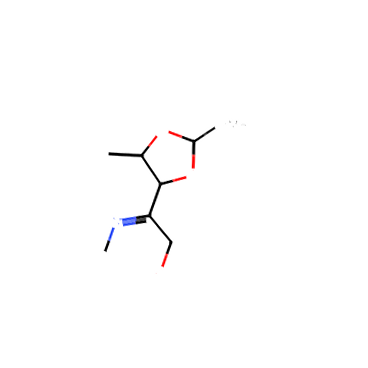 C/N=C(\CO)C1OC(OC)OC1C